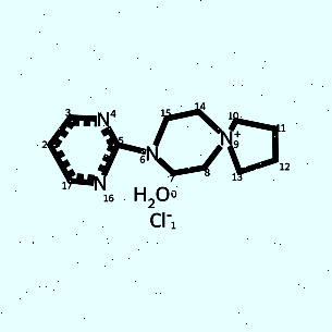 O.[Cl-].c1cnc(N2CC[N+]3(CCCC3)CC2)nc1